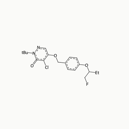 CCC(CF)Oc1ccc(COc2cnn(C(C)(C)C)c(=O)c2Cl)cc1